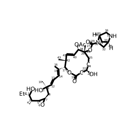 CC[C@H](O)[C@@H](C)[C@H]1O[C@@H]1C[C@@](C)(O)/C=C/C=C(\C)[C@H]1OC(=O)C[C@H](O)CC[C@@](C)(OC(=O)N2C[C@H]3C[C@@H]2CN3)[C@@H](OC(C)=O)/C=C/[C@@H]1C